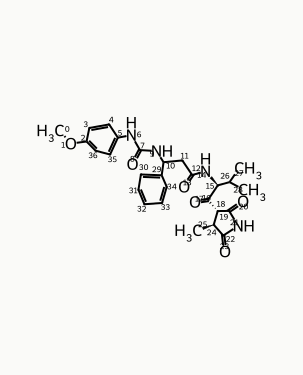 COc1ccc(NC(=O)NC(CC(=O)N[C@H](C(=O)[C@@H]2C(=O)NC(=O)[C@H]2C)C(C)C)c2ccccc2)cc1